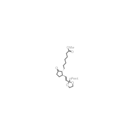 CCCCCC1(C=C[C@H]2CCC(=O)[C@@H]2CCCCCCC(=O)OC)OCCO1